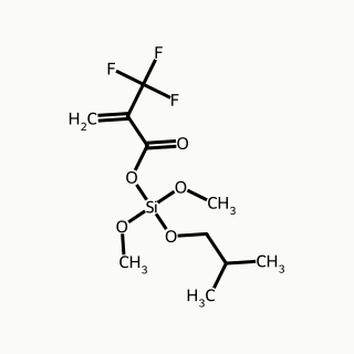 C=C(C(=O)O[Si](OC)(OC)OCC(C)C)C(F)(F)F